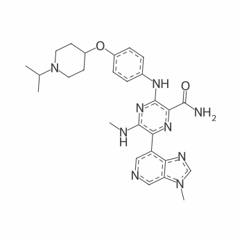 CNc1nc(Nc2ccc(OC3CCN(C(C)C)CC3)cc2)c(C(N)=O)nc1-c1cncc2c1ncn2C